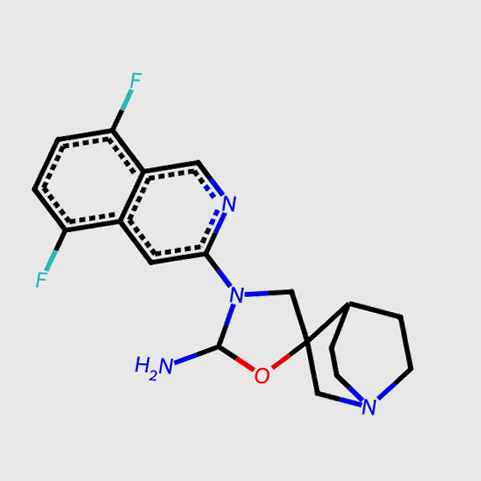 NC1OC2(CN3CCC2CC3)CN1c1cc2c(F)ccc(F)c2cn1